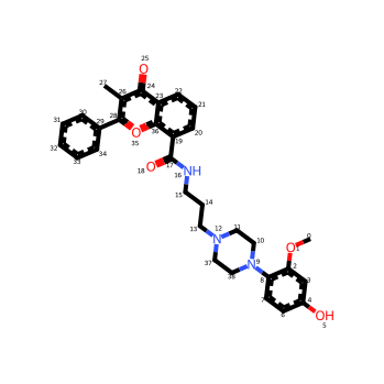 COc1cc(O)ccc1N1CCN(CCCNC(=O)c2cccc3c(=O)c(C)c(-c4ccccc4)oc23)CC1